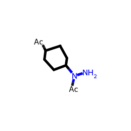 CC(=O)C1CCC(N(N)C(C)=O)CC1